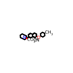 C[C@H]1CC[C@@H](Oc2ccc3ccc(CN4C5CCCC4CC(C(=O)O)C5)cc3c2C#N)CC1